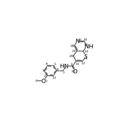 COc1cccc(CNC(=O)C2=CSC3NC=NC=C3C2)c1